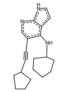 C(#CC1CCCC1)c1cnc2[nH]ccc2c1NC1CCCCC1